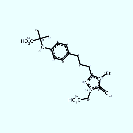 CCn1c(CCCc2ccc(OC(C)(C)C(=O)O)cc2)nn(CC(=O)O)c1=O